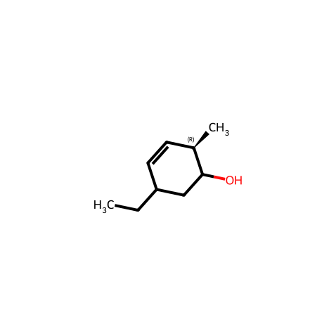 CCC1C=C[C@@H](C)C(O)C1